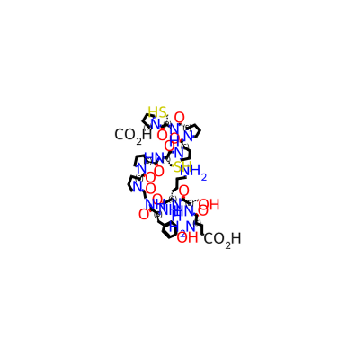 NCCCC[C@H](NC(=O)[C@H](CO)NC(=O)[C@@H](N)CCC(=O)O)C(=O)N[C@@H](Cc1ccc(O)cc1)C(=O)NCC(=O)N1CCC[C@H]1C(=O)N1CCC[C@H]1C(=O)N[C@@H](CS)C(=O)N1CCC[C@H]1C(=O)N1CCC[C@H]1C(=O)N[C@@H](CS)C(=O)N1CCC[C@H]1C(=O)O